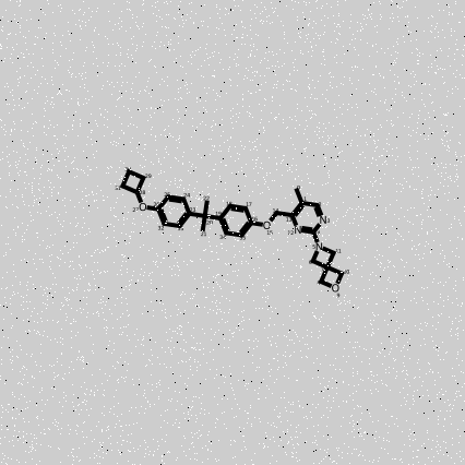 Cc1cnc(N2CC3(COC3)C2)nc1COc1ccc(C(C)(C)c2ccc(OC3CCC3)cc2)cc1